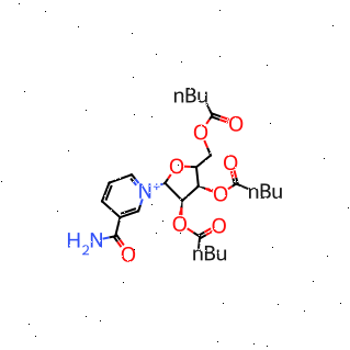 CCCCC(=O)OCC1OC([n+]2cccc(C(N)=O)c2)[C@H](OC(=O)CCCC)[C@@H]1OC(=O)CCCC